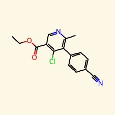 CCOC(=O)c1cnc(C)c(-c2ccc(C#N)cc2)c1Cl